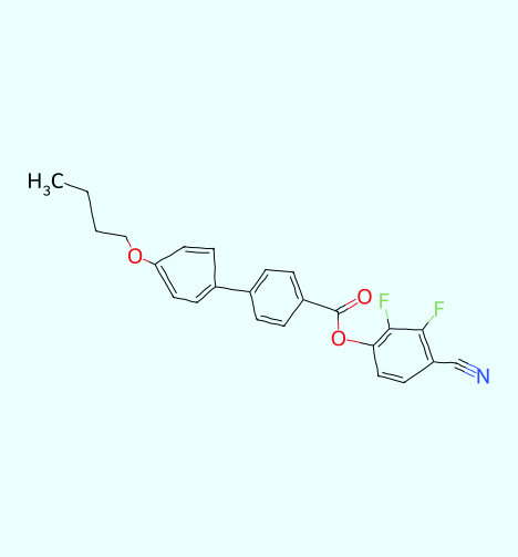 CCCCOc1ccc(-c2ccc(C(=O)Oc3ccc(C#N)c(F)c3F)cc2)cc1